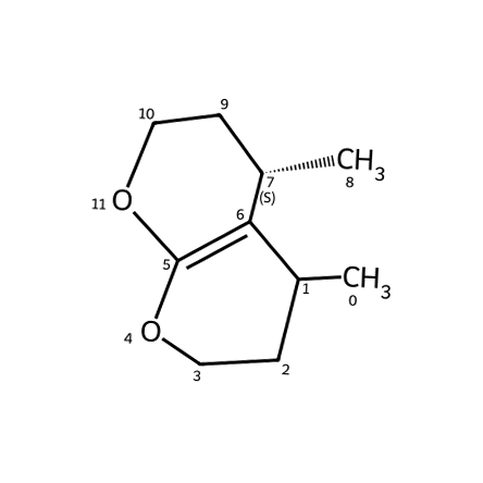 CC1CCOC2=C1[C@@H](C)CCO2